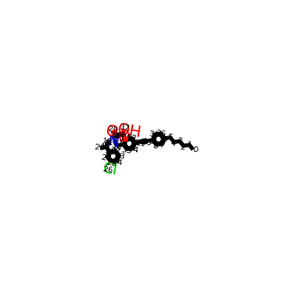 CCCCCCc1ccc(C#Cc2ccc(CN(CC(C)c3cccc(Cl)c3)C(=O)C(=O)O)cc2)cc1